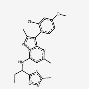 CCC(Nc1cc(C)nc2c(-c3ccc(OC)cc3Cl)c(C)nn12)c1nc(C)no1